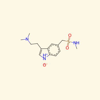 CNS(=O)(=O)Cc1ccc2c(c1)C(CCN(C)C)=C[NH+]2[O-]